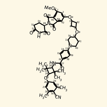 COc1cc(OC2CC(OC3CCN(c4ccc(C(=O)NC5C(C)(C)C(Oc6cc(C)c(C#N)c(C)c6)C5(C)C)cc4)CC3)C2)cc2c1C(=O)N([C@@H]1CCC(=O)NC1=O)C2=O